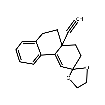 C#CC12CCc3ccccc3C1=CC1(CC2)OCCO1